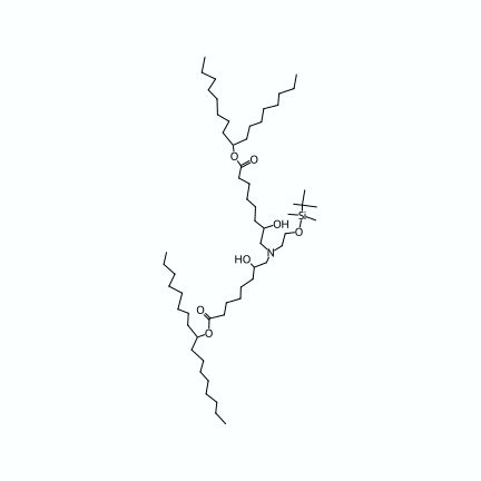 CCCCCCCCC(CCCCCCCC)OC(=O)CCCCCC(O)CN(CCO[Si](C)(C)C(C)(C)C)CC(O)CCCCCC(=O)OC(CCCCCCCC)CCCCCCCC